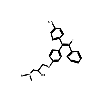 CCC(=C(c1ccc(OCC(O)CN(C)CC)cc1)c1ccc(OC(C)=O)cc1)c1ccccc1